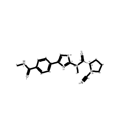 CNC(=O)c1ccc(-c2csc(N(C)C(=O)[C@@H]3CCCN3C#N)n2)cc1